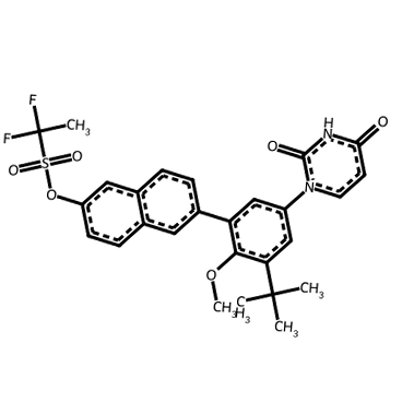 COc1c(-c2ccc3cc(OS(=O)(=O)C(C)(F)F)ccc3c2)cc(-n2ccc(=O)[nH]c2=O)cc1C(C)(C)C